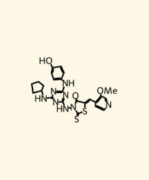 COc1cnccc1/C=C1\SC(=S)N(Nc2nc(Nc3ccc(O)cc3)nc(NC3CCCC3)n2)C1=O